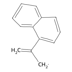 [CH2]C(=C)c1cccc2ccccc12